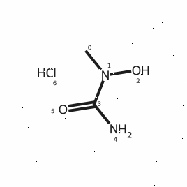 CN(O)C(N)=O.Cl